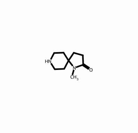 CN1C(=O)CCC12CCNCC2